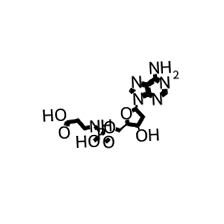 Nc1ncnc2c1ncn2[C@H]1C[C@H](O)[C@@H](COP(=O)(O)NCCC(=O)O)O1